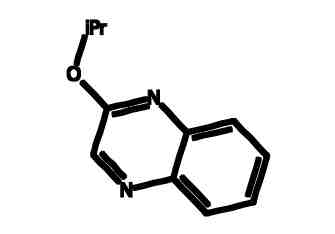 CC(C)Oc1cnc2ccccc2n1